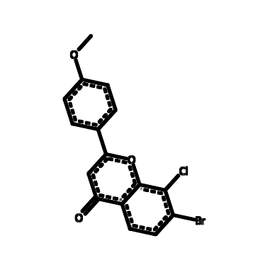 COc1ccc(-c2cc(=O)c3ccc(Br)c(Cl)c3o2)cc1